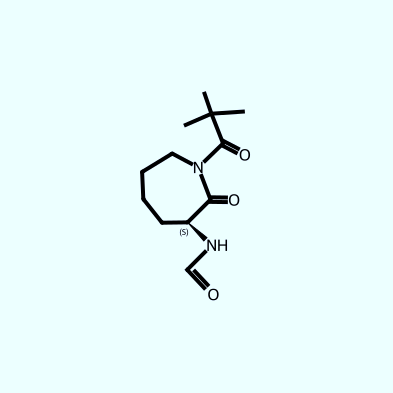 CC(C)(C)C(=O)N1CCCC[C@H](NC=O)C1=O